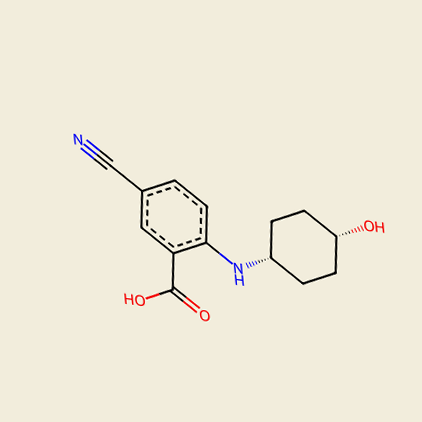 N#Cc1ccc(N[C@H]2CC[C@@H](O)CC2)c(C(=O)O)c1